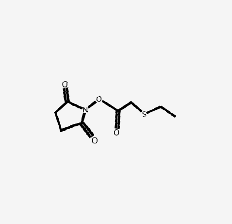 CCSCC(=O)ON1C(=O)CCC1=O